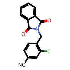 N#Cc1ccc(CN2C(=O)c3ccccc3C2=O)c(Cl)c1